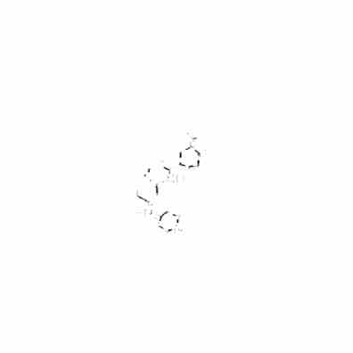 C=N/C(=C\C(=C/C)Nc1ccncc1)NC(=O)c1cccc(N)c1